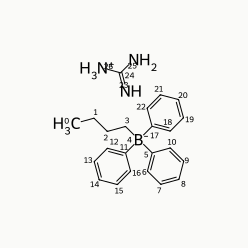 CCCC[B-](c1ccccc1)(c1ccccc1)c1ccccc1.N=C(N)[NH3+]